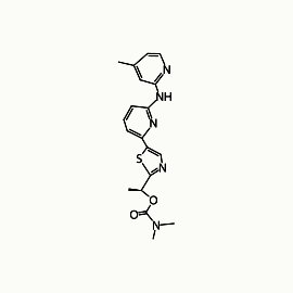 Cc1ccnc(Nc2cccc(-c3cnc([C@H](C)OC(=O)N(C)C)s3)n2)c1